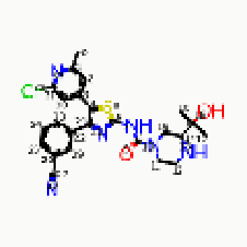 Cc1cc(-c2sc(NC(=O)N3CCN[C@H](C(C)(C)O)C3)nc2-c2cccc(C#N)c2)cc(Cl)n1